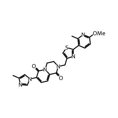 COc1ccc(-c2nc(CN3CCn4c(ccc(-n5cnc(C)c5)c4=O)C3=O)cs2)c(C)n1